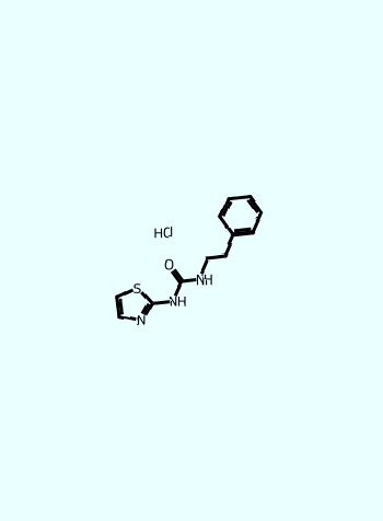 Cl.O=C(NCCc1ccccc1)Nc1nccs1